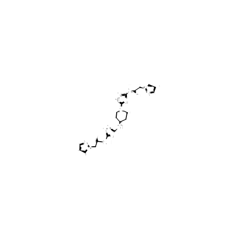 O=C(Cn1cccn1)Nc1nnc(NC2CCN(c3nnc(NC(=O)Cn4cccn4)s3)CC2)s1